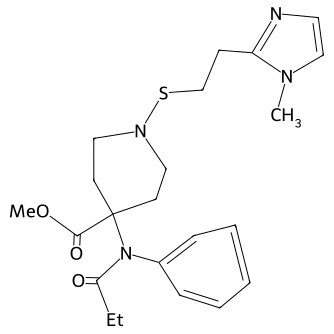 CCC(=O)N(c1ccccc1)C1(C(=O)OC)CCN(SCCc2nccn2C)CC1